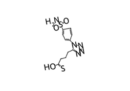 NS(=O)(=O)c1ccc(-n2nnnc2CCCC(O)=S)cc1